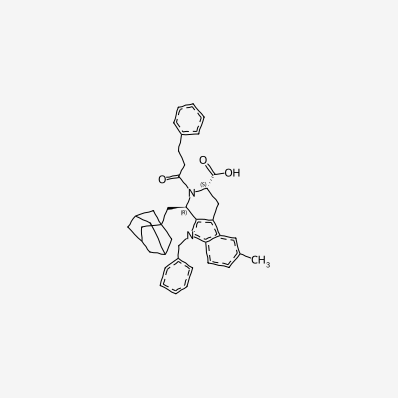 Cc1ccc2c(c1)c1c(n2Cc2ccccc2)[C@@H](CC23CC4CC(CC(C4)C2)C3)N(C(=O)CCc2ccccc2)[C@H](C(=O)O)C1